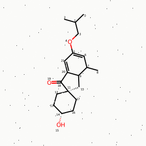 CC(C)COC1=CC(C)C2C[C@]3(CC[C@@H](O)CC3)C(=O)C2=C1